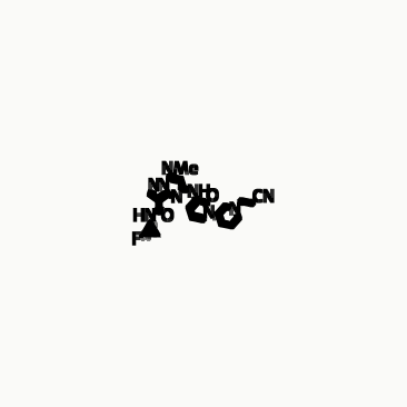 CNc1cc(Nc2cccn([C@H]3CCCN(CCC#N)C3)c2=O)nc2c(C(=O)N[C@@H]3C[C@@H]3F)cnn12